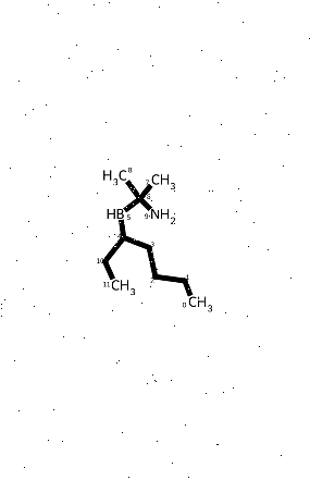 CCCCC(BC(C)(C)N)CC